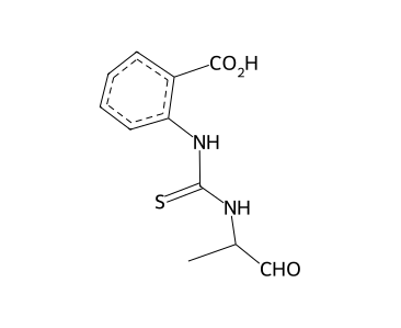 CC(C=O)NC(=S)Nc1ccccc1C(=O)O